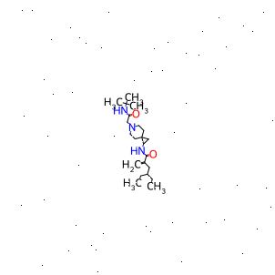 C=C(CC(CC)CC)C(=O)NC1CC12CCN(CC(=O)NC(C)(C)C)CC2